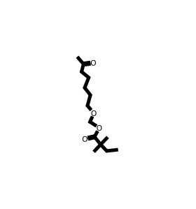 CCC(C)(C)C(=O)OCOCCCCCC(C)=O